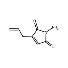 C=CCC1=CC(=O)N(N)C1=O